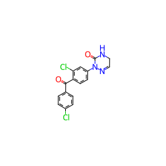 O=C(c1ccc(Cl)cc1)c1ccc(N2N=CCNC2=O)cc1Cl